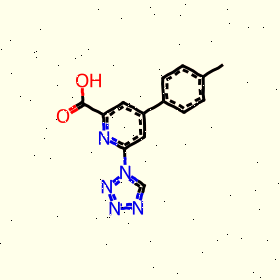 Cc1ccc(-c2cc(C(=O)O)nc(-n3cnnn3)c2)cc1